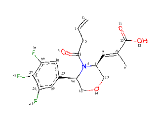 C=CCC(=O)N1[C@@H](/C=C(\C)C(=O)O)COC[C@H]1c1cc(F)c(F)c(F)c1